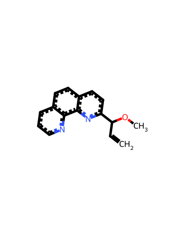 C=CC(OC)c1ccc2ccc3cccnc3c2n1